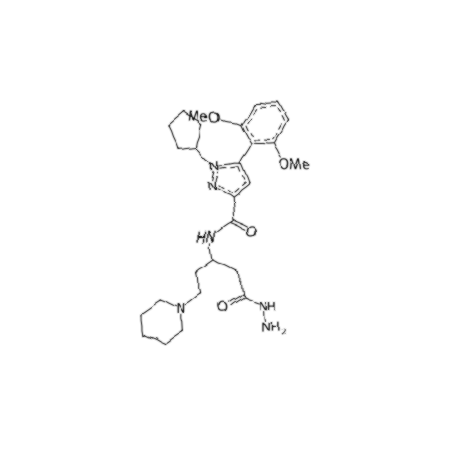 COc1cccc(OC)c1-c1cc(C(=O)NC(CCN2CCCCC2)CC(=O)NN)nn1C1CCCC1